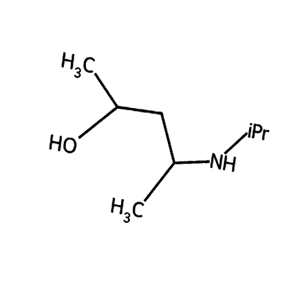 CC(O)CC(C)NC(C)C